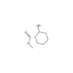 CCCC1CCCCC1.COC=O